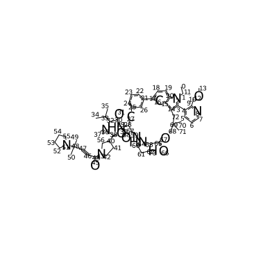 CCn1c(-c2cccnc2[C@H](C)OC)c2c3cc(ccc31)-c1cccc(c1)C[C@H](NC(=O)[C@H](C(C)C)N(C)C(=O)[C@H]1CCN(C(=O)C#CC(C)(C)N3CCCC3)C1)C(=O)N1CCC[C@H](N1)C(=O)OCC(C)(C)C2